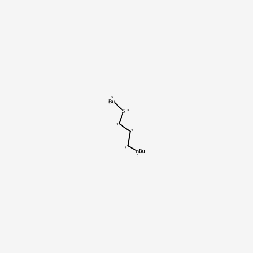 CCCCCCCSC(C)CC